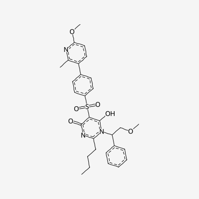 CCCCc1nc(=O)c(S(=O)(=O)c2ccc(-c3ccc(OC)nc3C)cc2)c(O)n1C(COC)c1ccccc1